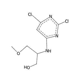 COCC(CO)Nc1cc(Cl)nc(Cl)n1